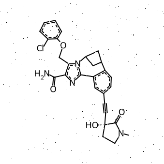 CN1CC[C@@](O)(C#Cc2ccc3c(c2)-c2nc(C(N)=O)c(COc4ccccc4Cl)n2C2CC3C2)C1=O